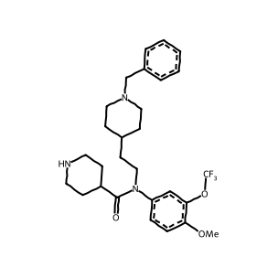 COc1ccc(N(CCC2CCN(Cc3ccccc3)CC2)C(=O)C2CCNCC2)cc1OC(F)(F)F